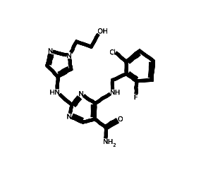 NC(=O)c1cnc(Nc2cnn(CCO)c2)nc1NCc1c(F)cccc1Cl